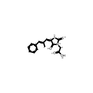 CC(=C\c1ccccc1)/C=C1/SC(=S)N(CC(=O)O)C1=O